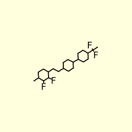 CC1CCC(CCC2CCC(C3CCC(C(C)(F)F)CC3)CC2)C(F)C1F